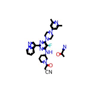 CC(=O)C#N.Cc1cc(N2CCN(c3nc(-c4cnn5ccccc45)nc(N[C@@H]4CCCN(C(=O)CC#N)C4)c3F)CC2)cc(C)n1